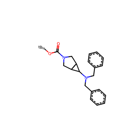 CC(C)(C)OC(=O)N1CC2C(C1)C2N(Cc1ccccc1)Cc1ccccc1